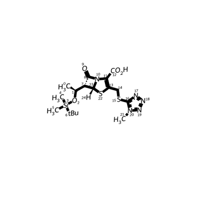 C[C@H](O[Si](C)(C)C(C)(C)C)[C@@H]1C(=O)N2C(C(=O)O)=C(CSc3nnnn3C)S[C@H]12